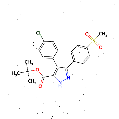 CC(C)(C)OC(=O)c1[nH]nc(-c2ccc(S(C)(=O)=O)cc2)c1-c1ccc(Cl)cc1